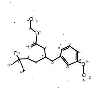 CCOC(=O)CC(CCC(F)(F)F)Cc1cccc(OC)c1